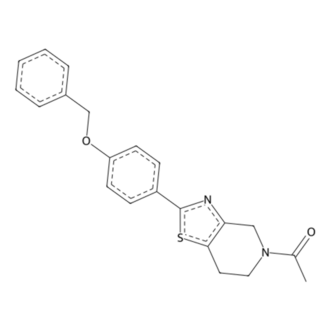 CC(=O)N1CCc2sc(-c3ccc(OCc4ccccc4)cc3)nc2C1